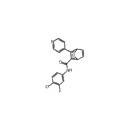 O=C(Nc1ccc(Cl)c(F)c1)c1c(-c2ccncc2)c2ccc1o2